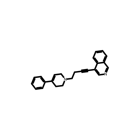 C(#Cc1cncc2ccccc12)CCN1CC=C(c2ccccc2)CC1